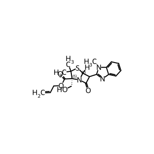 C=CCOC(=O)[C@]1(CO)N2C(=O)C(c3nc4ccccc4n3C)[C@H]2SC1(C)C